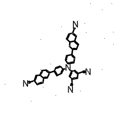 N#CC1=CC2=CC=C(c3ccc(N(c4ccc(-c5ccc6cc(C#N)ccc6c5)cc4)c4cc(C#N)cc(C#N)c4)cc3)CC2C=C1